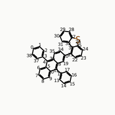 c1ccc(-c2c3ccccc3c(-c3ccccc3)c3cc(-c4cccc5sc6ccccc6c45)ccc23)cc1